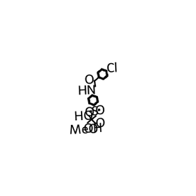 COC(=O)C(O)(CO)CS(=O)(=O)c1ccc(NCC(=O)c2ccc(Cl)cc2)cc1